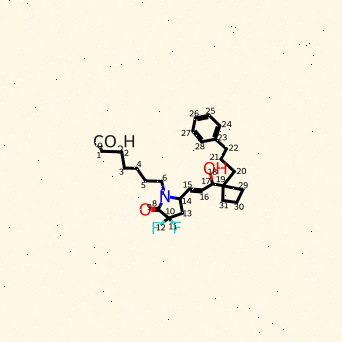 O=C(O)CCCCCCN1C(=O)C(F)(F)CC1C=CC(O)C1(CCCc2ccccc2)CCC1